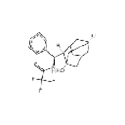 O=C(N[C@@H](c1ccccc1)[C@H]1C2CC3C[C@](Cl)(C2)C[C@@]1(O)C3)C(F)(F)F